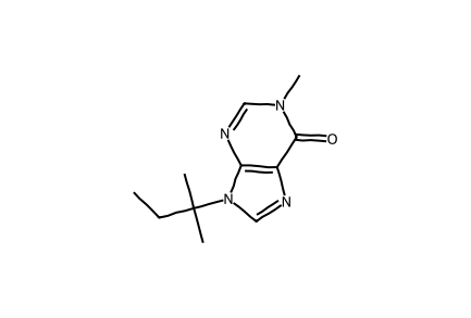 CCC(C)(C)n1cnc2c(=O)n(C)cnc21